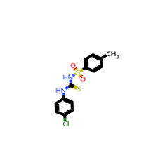 Cc1ccc(S(=O)(=O)NC(=S)Nc2ccc(Cl)cc2)cc1